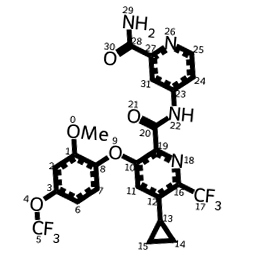 COc1cc(OC(F)(F)F)ccc1Oc1cc(C2CC2)c(C(F)(F)F)nc1C(=O)Nc1ccnc(C(N)=O)c1